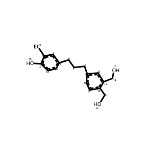 CCc1cc(CCCc2ccc(CO)c(CO)c2)ccc1O